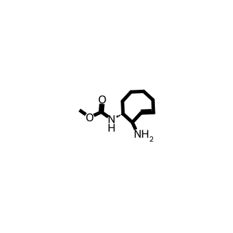 COC(=O)N[C@@H]1CCCC/C=C/C1N